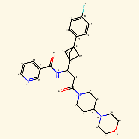 O=C(NC(CC(=O)N1CCC(N2CCOCC2)CC1)C12CC(c3ccc(F)cc3)(C1)C2)c1cccnc1